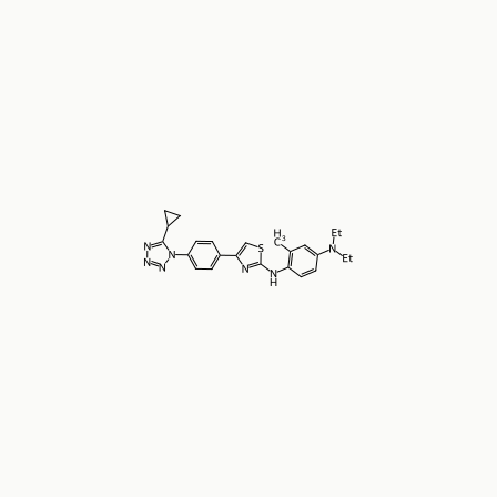 CCN(CC)c1ccc(Nc2nc(-c3ccc(-n4nnnc4C4CC4)cc3)cs2)c(C)c1